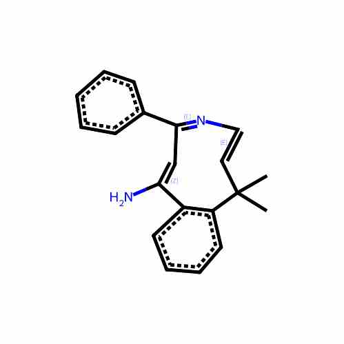 CC1(C)/C=C/N=C(c2ccccc2)\C=C(/N)c2ccccc21